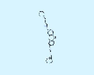 C(=C\c1ccc2c(c1)Cc1cc(/C=C/CCN3CCCCC3)ccc1O2)/CCN1CCCCC1